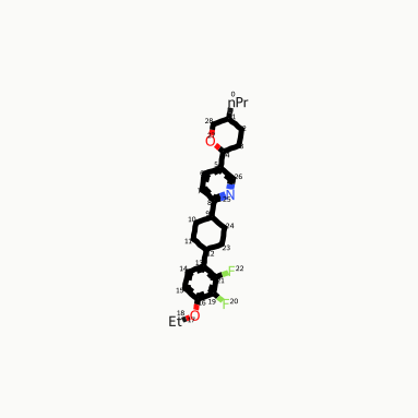 CCCC1CCC(c2ccc(C3CCC(c4ccc(OCC)c(F)c4F)CC3)nc2)OC1